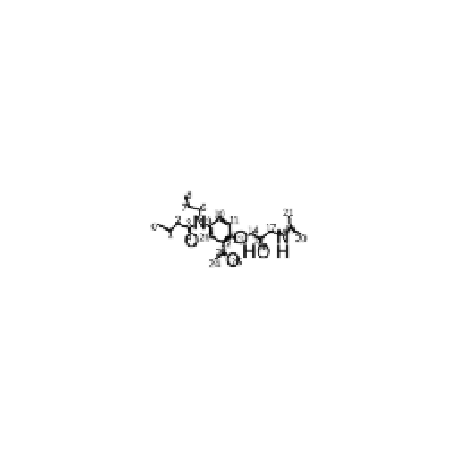 CCCC(=O)N(CCC)c1ccc(OCC(O)CNC(C)C)c(C(C)=O)c1